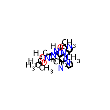 Cc1ccnc(C(C)C)c1-n1c(=O)nc(N2C[C@@H](C)N(C(=O)OC(C)(C)C)C[C@@H]2C)c2cc(C#N)c(N3CCCCC3)nc21